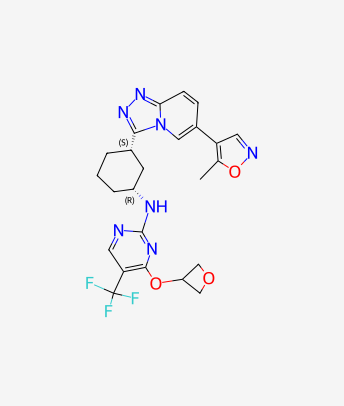 Cc1oncc1-c1ccc2nnc([C@H]3CCC[C@@H](Nc4ncc(C(F)(F)F)c(OC5COC5)n4)C3)n2c1